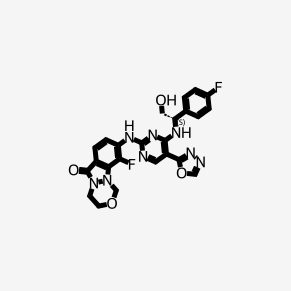 O=c1c2ccc(Nc3ncc(-c4nnco4)c(N[C@H](CO)c4ccc(F)cc4)n3)c(F)c2n2n1CCOC2